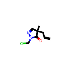 C=CCC1(C)C=NN(CCl)C1=O